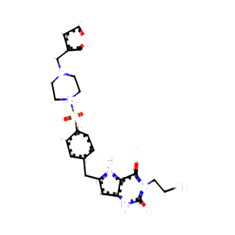 CCCn1c(=O)[nH]c2cc(Cc3ccc(S(=O)(=O)N4CCN(Cc5ccoc5)CC4)cc3)[nH]c2c1=O